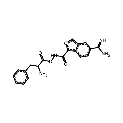 N=C(N)c1ccc2c(C(=O)NOC(=O)C(N)Cc3ccccc3)occ2c1